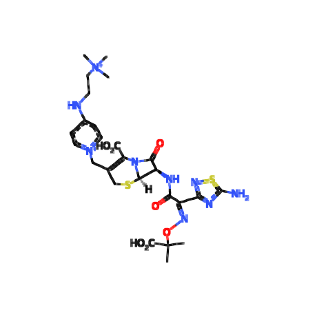 CC(C)(O/N=C(\C(=O)N[C@@H]1C(=O)N2C(C(=O)O)=C(C[n+]3ccc(NCC[N+](C)(C)C)cc3)CS[C@H]12)c1nsc(N)n1)C(=O)O